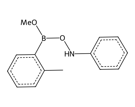 COB(ONc1ccccc1)c1ccccc1C